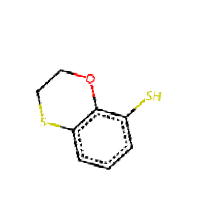 Sc1cccc2c1OCCS2